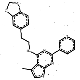 Cc1csc2nc(-c3cccnc3)nc(NCCc3ccc4c(c3)OCO4)c12